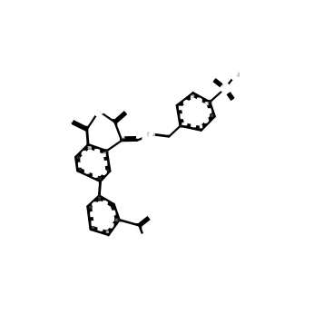 NS(=O)(=O)c1ccc(CNC=C2C(=O)NC(=O)c3ccc(-c4cccc(C(=O)O)c4)cc32)cc1